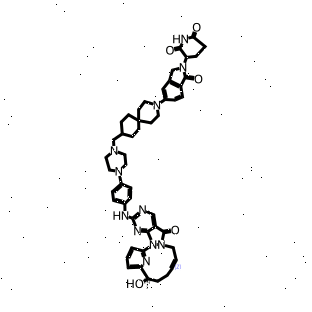 C[C@@]1(O)CC/C=C\Cn2c(=O)c3cnc(Nc4ccc(N5CCN(CC6CCC7(CC6)CCN(c6ccc8c(c6)CN(C6CCC(=O)NC6=O)C8=O)CC7)CC5)cc4)nc3n2-c2cccc1n2